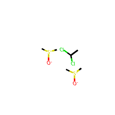 CC(Cl)Cl.C[S+](C)[O-].C[S+](C)[O-]